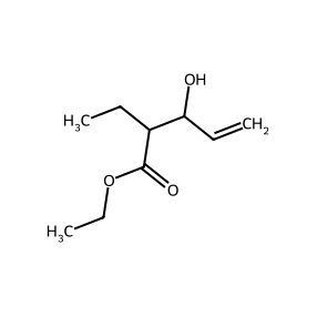 C=CC(O)C(CC)C(=O)OCC